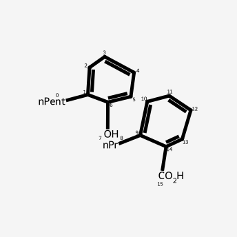 CCCCCc1ccccc1O.CCCc1ccccc1C(=O)O